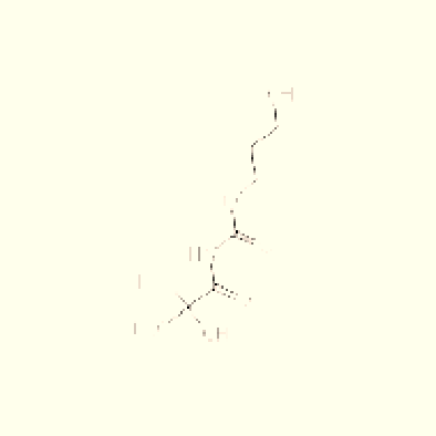 CCCCOC(=O)NC(=O)C(C)(C)C